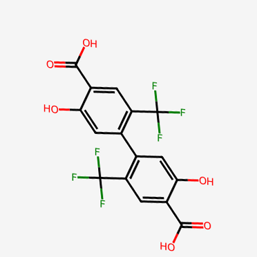 O=C(O)c1cc(C(F)(F)F)c(-c2cc(O)c(C(=O)O)cc2C(F)(F)F)cc1O